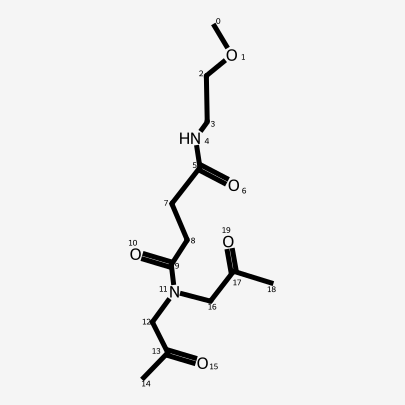 COCCNC(=O)CCC(=O)N(CC(C)=O)CC(C)=O